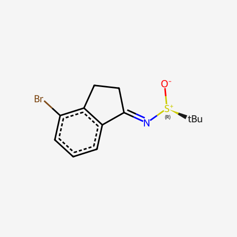 CC(C)(C)[S@+]([O-])N=C1CCc2c(Br)cccc21